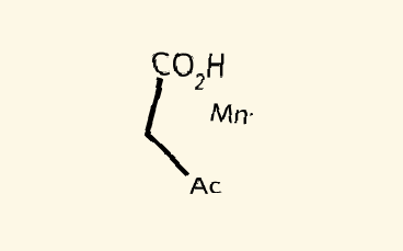 CC(=O)CC(=O)O.[Mn]